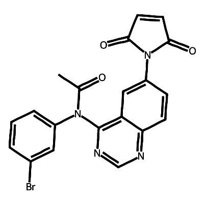 CC(=O)N(c1cccc(Br)c1)c1ncnc2ccc(N3C(=O)C=CC3=O)cc12